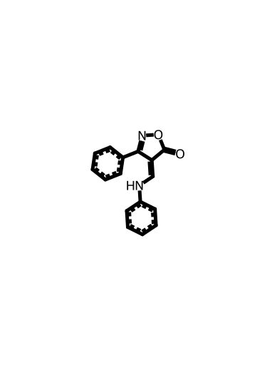 O=C1ON=C(c2ccccc2)/C1=C\Nc1ccccc1